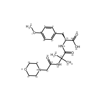 COc1ccc(C[C@H](NC(=O)C(C)(C)NC(=O)CN2CCOCC2)C(=O)O)cc1